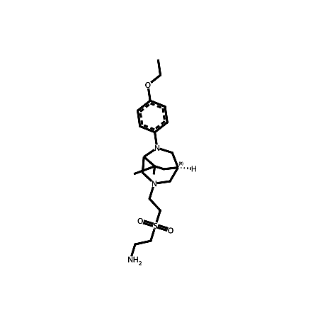 CCOc1ccc(N2C[C@H]3CN(CCS(=O)(=O)CCN)CC2C(C)(C)C3)cc1